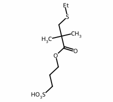 CCSCC(C)(C)C(=O)OCCCS(=O)(=O)O